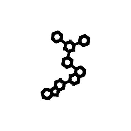 c1ccc(-c2nc(-c3ccccc3)nc(-c3cccc(-c4cccc5cnc(-c6cc7sc8ccccc8c7cn6)nc45)c3)n2)cc1